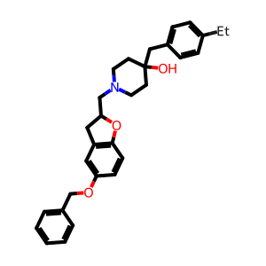 CCc1ccc(CC2(O)CCN(CC3Cc4cc(OCc5ccccc5)ccc4O3)CC2)cc1